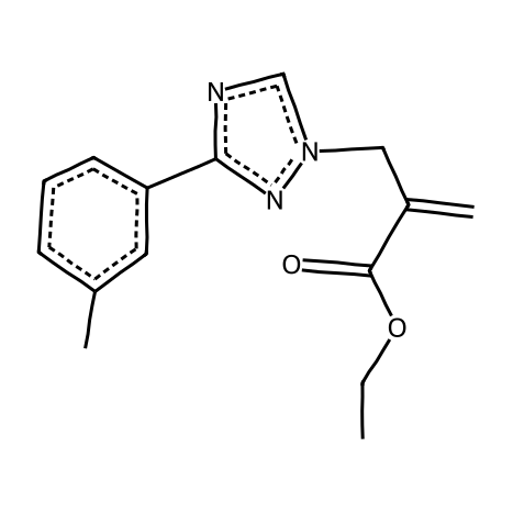 C=C(Cn1cnc(-c2cccc(C)c2)n1)C(=O)OCC